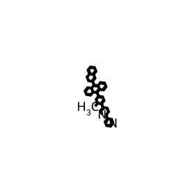 CC1CC(C2=c3ccccc3=C(C3=Cc4ccccc4CC3)C3C=CC=CC23)=CC=C1C1=CN=C(c2cccnc2)CC1